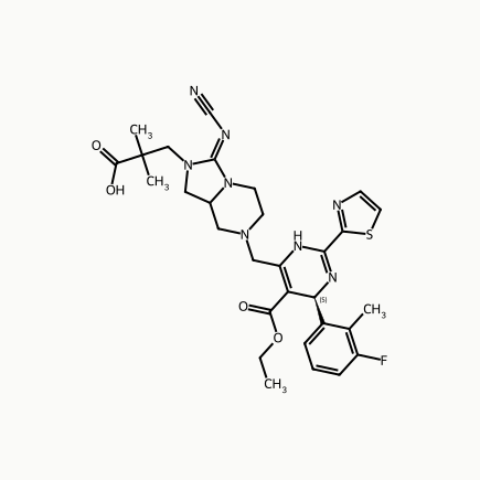 CCOC(=O)C1=C(CN2CCN3C(=NC#N)N(CC(C)(C)C(=O)O)CC3C2)NC(c2nccs2)=N[C@H]1c1cccc(F)c1C